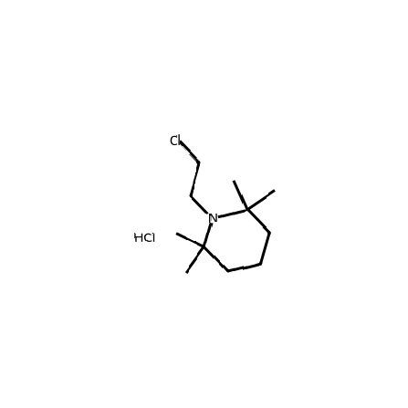 CC1(C)CCCC(C)(C)N1CCCl.Cl